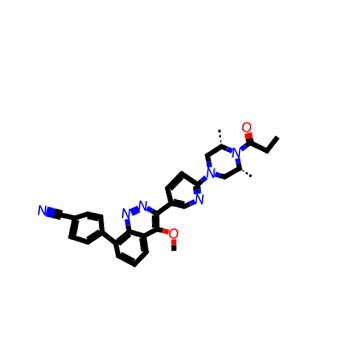 CCC(=O)N1[C@H](C)CN(c2ccc(-c3nnc4c(-c5ccc(C#N)cc5)cccc4c3OC)cn2)C[C@@H]1C